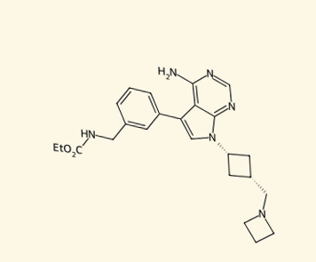 CCOC(=O)NCc1cccc(-c2cn([C@H]3C[C@@H](CN4CCC4)C3)c3ncnc(N)c23)c1